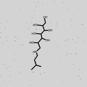 CC(C)CCNCC(O)C(O)C(O)C(O)C(O)CO